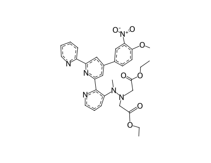 CCOC(=O)CN(CC(=O)OCC)N(C)c1cccnc1-c1cc(-c2ccc(OC)c([N+](=O)[O-])c2)cc(-c2ccccn2)n1